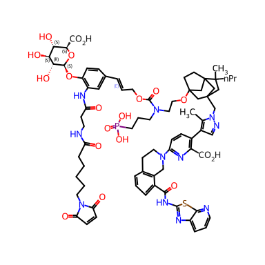 CCCC1(C)CC2(Cn3ncc(-c4ccc(N5CCc6cccc(C(=O)Nc7nc8cccnc8s7)c6C5)nc4C(=O)O)c3C)CC3(OCCN(CCCP(=O)(O)O)C(=O)OC/C=C/c4ccc(O[C@@H]5O[C@H](C(=O)O)[C@@H](O)[C@H](O)[C@H]5O)c(NC(=O)CCNC(=O)CCCCCN5C(=O)C=CC5=O)c4)CCC1(C2)C3